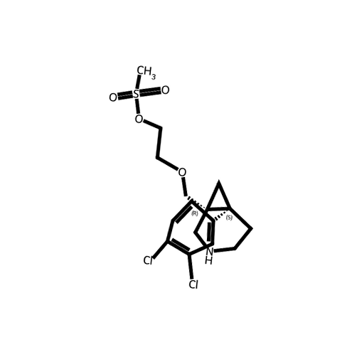 CS(=O)(=O)OCCOC[C@@]12CNCC[C@]1(c1ccc(Cl)c(Cl)c1)C2